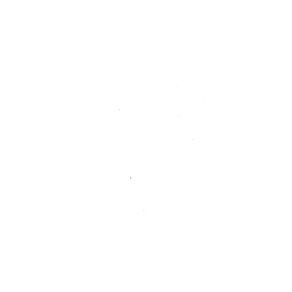 C=C/C=c1/oc2cccc(-c3nc(-c4ccccc4)nc(-c4ccccc4)n3)c2/c1=C/N(c1ccc(-c2ccccc2)cc1)c1ccc(-c2cccc3c2oc2ccccc23)cc1